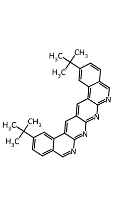 CC(C)(C)c1ccc2cnc3nc4nc5ncc6ccc(C(C)(C)C)cc6c5cc4cc3c2c1